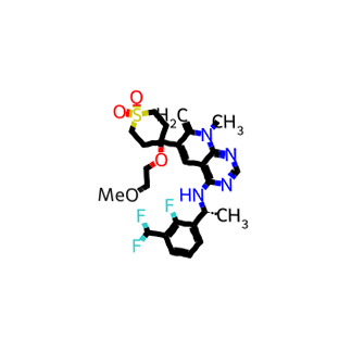 C=C1C(C2(OCCOC)CCS(=O)(=O)CC2)=Cc2c(N[C@H](C)c3cccc(C(F)F)c3F)ncnc2N1C